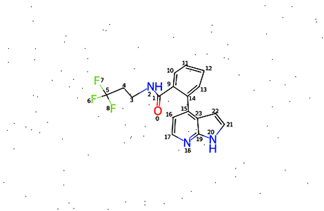 O=C(NCCC(F)(F)F)c1ccccc1-c1ccnc2[nH]ccc12